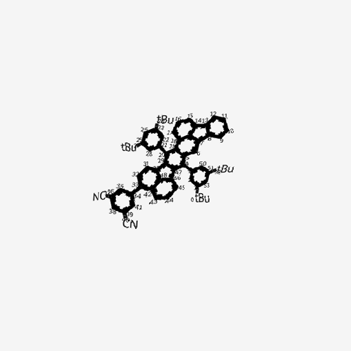 CC(C)(C)c1cc(-c2c3cc4c5ccccc5c5cccc(c3c(-c3cc(C(C)(C)C)cc(C(C)(C)C)c3)c3c6ccc(-c7cc(C#N)cc(C#N)c7)c7cccc(c23)c76)c54)cc(C(C)(C)C)c1